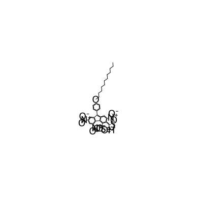 CCCCCCCCCCCCOc1ccc(C2=c3cc([N+](=O)[O-])c(=C4SC=C[Se]4)c(C(=O)O)c3-c3c2cc([N+](=O)[O-])cc3[N+](=O)[O-])cc1